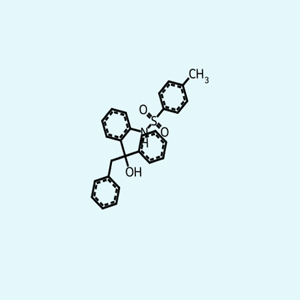 Cc1ccc(S(=O)(=O)Nc2ccccc2C(O)(Cc2ccccc2)c2ccccc2)cc1